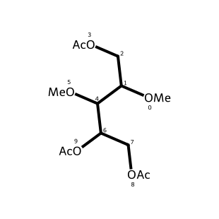 COC(COC(C)=O)C(OC)C(COC(C)=O)OC(C)=O